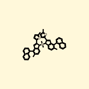 Cc1ccc(C2=Cc3c(ccc(C)c3-c3cccc4ccccc34)C2[Si](C)(C)C2C(c3ccc(C)o3)=Cc3c2ccc(C)c3-c2cccc3ccccc23)o1